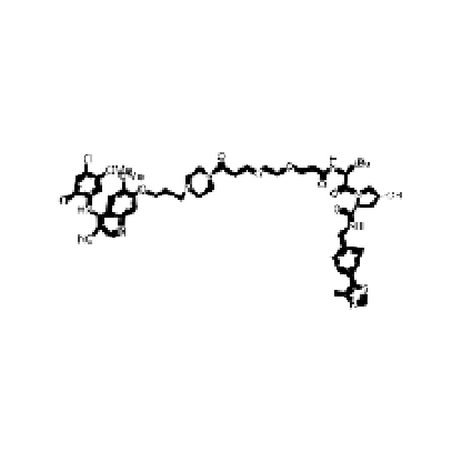 COc1cc(Nc2c(C#N)cnc3cc(OCCCN4CCN(C(=O)CCOCCOCCC(=O)NC(C(=O)N5C[C@H](O)C[C@H]5C(=O)NCc5ccc(-c6scnc6C)cc5)C(C)(C)C)CC4)c(OC)cc23)c(Cl)cc1Cl